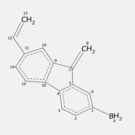 Bc1ccc2c(c1)C(=C)c1cc(C=C)ccc1-2